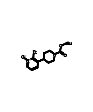 CCc1c(C2CCN(C(=O)OC(C)(C)C)CC2)ccc[n+]1[O-]